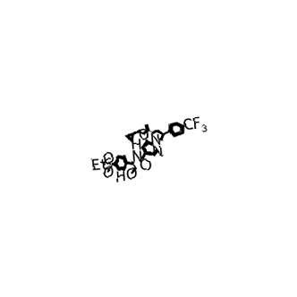 C=C(OCC1CC1)[C@@H]1CC(c2ccc(C(F)(F)F)cc2)CN1c1ccc(C(=O)N[C@@H](CO)c2ccc(S(=O)(=O)CC)cc2)cn1